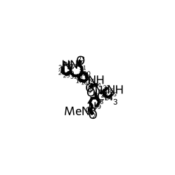 CNC(=O)N1CCC(C)(C(=O)N(CC(=O)Nc2ccc3c(c2)CC(=O)Nc2ncccc2C3)[C@H]2CCCNC2)CC1